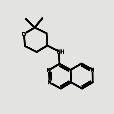 CC1(C)CC(Nc2nncc3ccncc23)CCO1